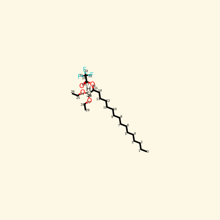 CCCCCCCCCCCCCCCC(OC(=O)C(F)(F)F)[SiH](OCC)OCC